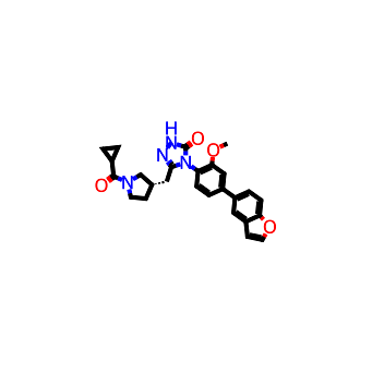 COc1cc(-c2ccc3occc3c2)ccc1-n1c(C[C@@H]2CCN(C(=O)C3CC3)C2)n[nH]c1=O